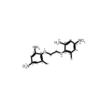 Cc1cc([N+](=O)[O-])cc(N)c1OCCOc1c(C)cc([N+](=O)[O-])cc1N